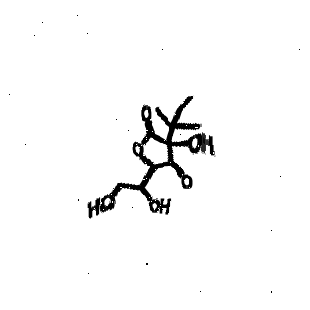 CC(C)(C)C1(O)C(=O)OC(C(O)CO)C1=O